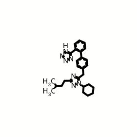 CC(C)CCc1nc(Cc2ccc(-c3ccccc3-c3nnn[nH]3)cc2)n(C2CCCCC2)n1